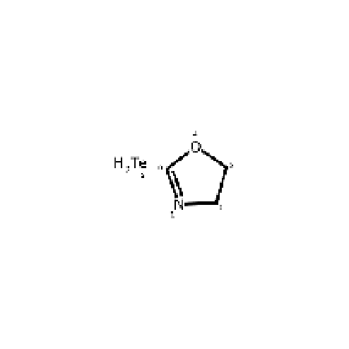 C1=NCCO1.[TeH2]